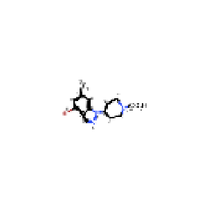 O=C(O)N1CCC(n2ncc3c(Br)cc(C(F)(F)F)cc32)CC1